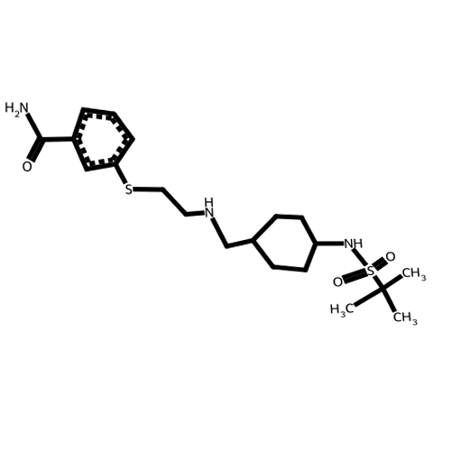 CC(C)(C)S(=O)(=O)NC1CCC(CNCCSc2cccc(C(N)=O)c2)CC1